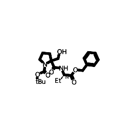 CC[C@H](NC(=O)C1(CO)CCCN1C(=O)OC(C)(C)C)C(=O)OCc1ccccc1